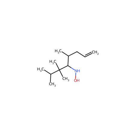 C=CCC(C)C(NO)C(C)(C)C(C)C